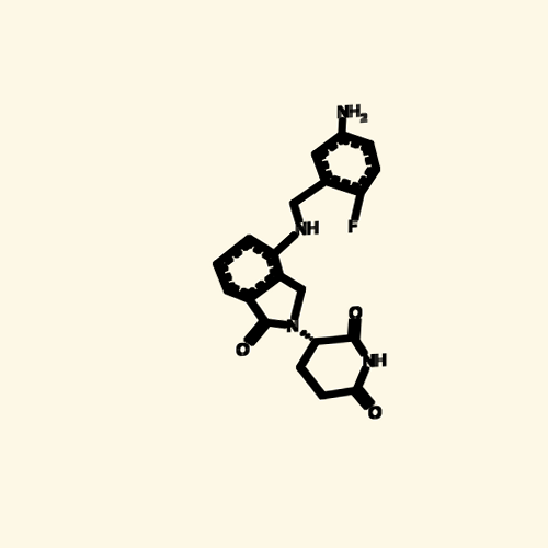 Nc1ccc(F)c(CNc2cccc3c2CN([C@H]2CCC(=O)NC2=O)C3=O)c1